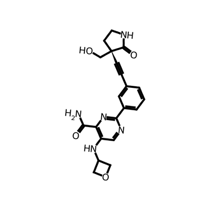 NC(=O)c1nc(-c2cccc(C#C[C@@]3(CO)CCNC3=O)c2)ncc1NC1COC1